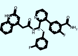 NC(=O)c1cc(-c2cccnc2[C@H](Cc2cccc(F)c2)NC(=O)Cc2cc(=O)[nH]c3ccccc23)ccc1F